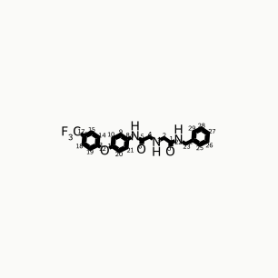 O=C(CNCC(=O)Nc1ccc(Oc2ccc(C(F)(F)F)cc2)cc1)NCc1ccccc1